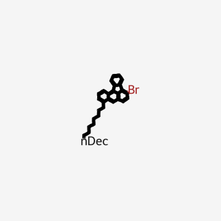 CCCCCCCCCCCCCCCCCCc1cccc2c3c4c(c(Br)ccc4cc12)-c1ccccc1-3